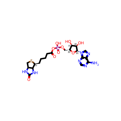 Nc1ncnc2c1ncn2[C@@H]1O[C@H](COP(=O)(O)OC(=O)CCCC[C@@H]2SCC3NC(=O)NC32)[C@@H](O)[C@H]1O